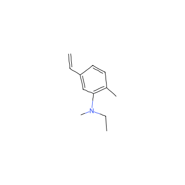 C=Cc1ccc(C)c(N(C)CC)c1